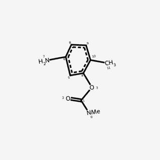 CNC(=O)Oc1cc(N)ccc1C